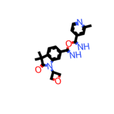 Cc1cc(C(=N)OC(=N)c2ccc3c(c2)N(C2COC2)C(=O)C3(C)C)ccn1